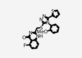 COc1ccccc1-n1c(SCc2nc(=O)c3c(F)cccc3[nH]2)nnc1-c1cccs1